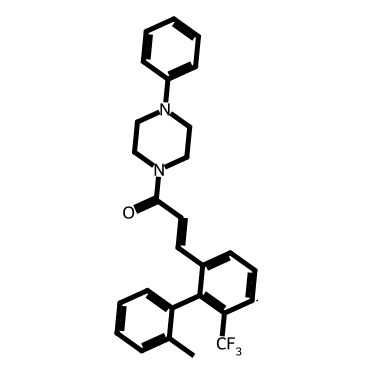 Cc1ccccc1-c1c(C(F)(F)F)[c]ccc1/C=C/C(=O)N1CCN(c2ccccc2)CC1